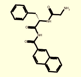 NCC(=O)N[C@@H](Cc1ccccc1)C(=O)NC(=O)c1ccc2ccccc2c1